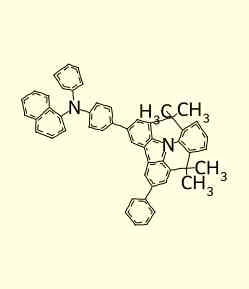 CC1(C)c2cccc3c2-n2c4c1cc(-c1ccccc1)cc4c1cc(-c4ccc(N(c5ccccc5)c5cccc6ccccc56)cc4)cc(c12)C3(C)C